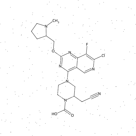 CN1CCCC1COc1nc(N2CCN(C(=O)O)C(CC#N)C2)c2cnc(Cl)c(F)c2n1